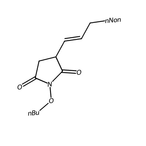 CCCCCCCCCCC=CC1CC(=O)N(OCCCC)C1=O